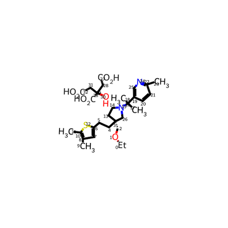 CCOC[C@]1(CCc2cc(C)c(C)s2)CCN(C(C)(C)c2ccc(C)nc2)C1.O=C(O)CC(O)(CC(=O)O)C(=O)O